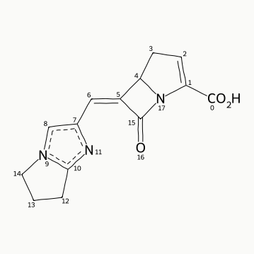 O=C(O)C1=CCC2C(=Cc3cn4c(n3)CCC4)C(=O)N12